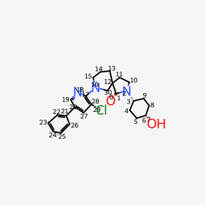 O=C1N([C@H]2CC[C@@H](O)CC2)CCC12CCCN(c1ncc(-c3ccccc3)cc1Cl)C2